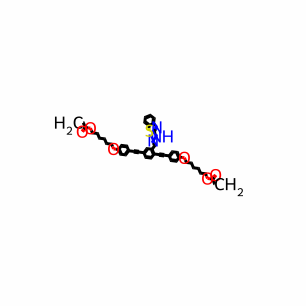 C=CC(=O)OCCCCCCOc1ccc(C#Cc2ccc(C#Cc3ccc(OCCCCCCOC(=O)C=C)cc3)c(/C=N/Nc3nc4ccccc4s3)c2)cc1